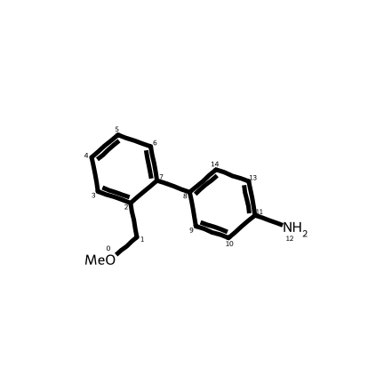 COCc1ccccc1-c1ccc(N)cc1